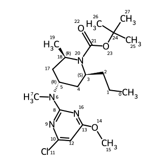 CCC[C@H]1C[C@H](N(C)c2nc(Cl)cc(OC)n2)C[C@@H](C)N1C(=O)OC(C)(C)C